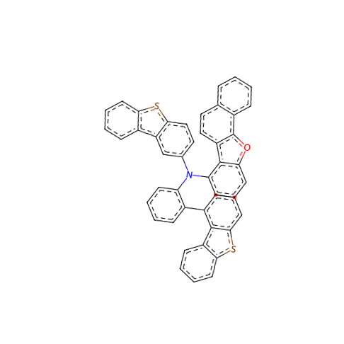 c1ccc(N(c2ccc3sc4ccccc4c3c2)c2cccc3oc4c5ccccc5ccc4c23)c(-c2cccc3sc4ccccc4c23)c1